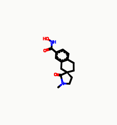 CN1CC[C@@]2(CCc3ccc(C(=O)NO)cc3C2)C1=O